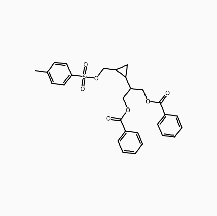 Cc1ccc(S(=O)(=O)OCC2CC2C(COC(=O)c2ccccc2)COC(=O)c2ccccc2)cc1